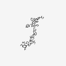 C[C@@H](COC(=O)COCCOC(=O)c1cc(S(N)(=O)=O)c(Cl)cc1NCc1ccco1)N[C@H](C)C(=O)c1cc(F)cc(F)c1